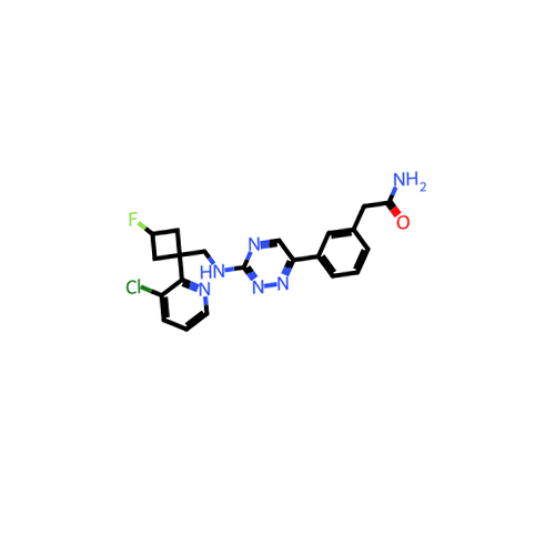 NC(=O)Cc1cccc(-c2cnc(NCC3(c4ncccc4Cl)CC(F)C3)nn2)c1